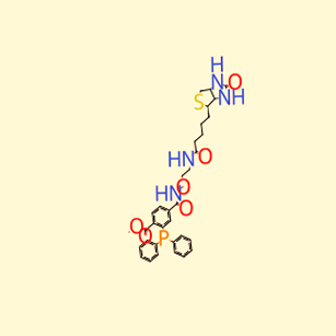 COC(=O)c1ccc(C(=O)NOCCNC(=O)CCCC[C@H]2SCC3NC(=O)NC32)cc1P(c1ccccc1)c1ccccc1